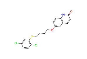 O=c1ccc2cc(OCCCCSc3cc(Cl)ccc3Cl)ccc2[nH]1